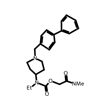 CCN(C(=O)OCC(=O)NC)C1CCN(Cc2ccc(-c3ccccc3)cc2)CC1